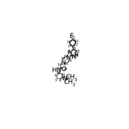 CN(C)[C@H]1CCC[C@@H](NC(=O)CN2CCN(c3nncc(-c4ccc(F)cc4)n3)CC2)C1